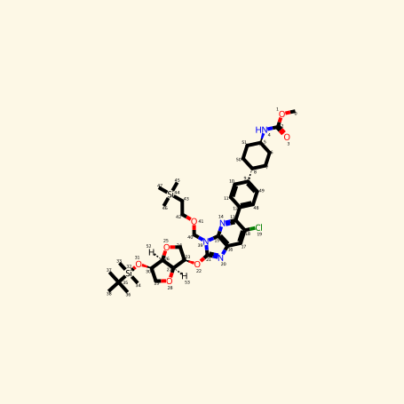 COC(=O)N[C@H]1CC[C@H](c2ccc(-c3nc4c(cc3Cl)nc(O[C@@H]3CO[C@H]5[C@@H]3OC[C@H]5O[Si](C)(C)C(C)(C)C)n4COCC[Si](C)(C)C)cc2)CC1